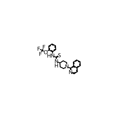 FC(F)(F)Oc1ccccc1NC(=S)NC1CCN(c2nccc3ccccc23)CC1